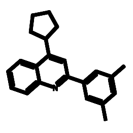 Cc1cc(C)cc(-c2cc(C3CCCC3)c3ccccc3n2)c1